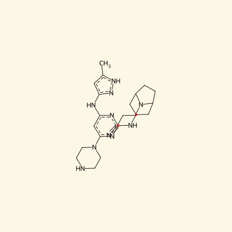 Cc1cc(Nc2cc(N3CCNCC3)nc(NC3CC4CCC(C3)N4CCC#N)n2)n[nH]1